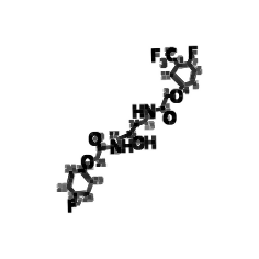 O=C(COc1ccc(F)c(C(F)(F)F)c1)NCC[C@H](O)CNC(=O)COc1ccc(F)cc1